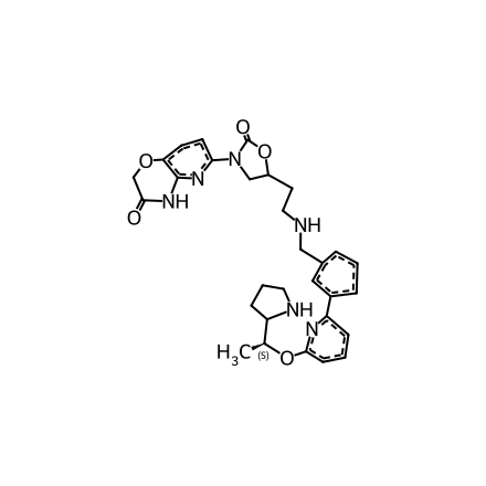 C[C@H](Oc1cccc(-c2cccc(CNCCC3CN(c4ccc5c(n4)NC(=O)CO5)C(=O)O3)c2)n1)C1CCCN1